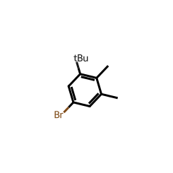 Cc1cc(Br)cc(C(C)(C)C)c1C